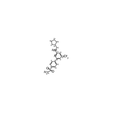 CS(=O)(=O)c1ccc(-c2cc(C(F)(F)F)cc(NCC3CCCC3)n2)cc1